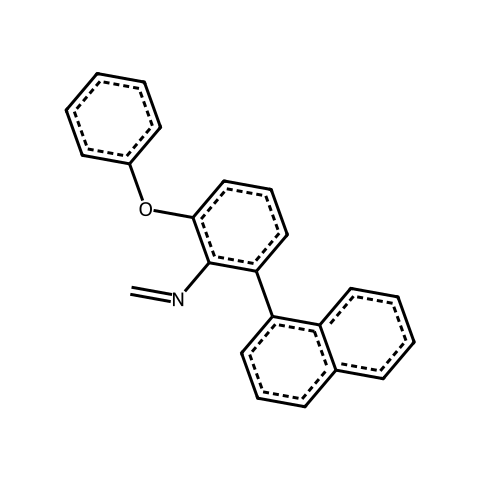 C=Nc1c(Oc2ccccc2)cccc1-c1cccc2ccccc12